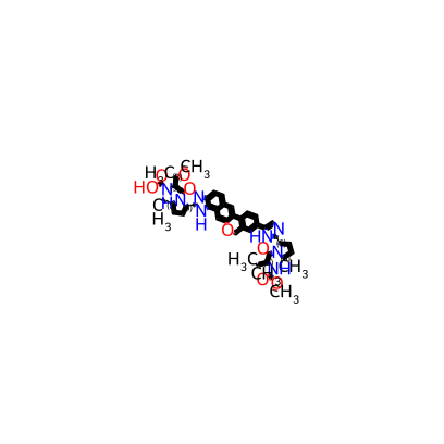 CC[C@H]1CC[C@@H](c2nc3ccc4cc5c(cc4c3[nH]2)OCc2cc(-c3cnc([C@@H]4CC[C@H](C)N4C(=O)[C@@H](NC(=O)OC)C(C)C)[nH]3)ccc2-5)N1C(=O)[C@@H](NC(=O)O)[C@@H](C)OC